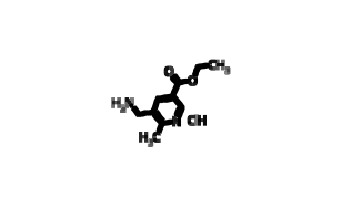 CCOC(=O)c1cnc(C)c(CN)c1.Cl